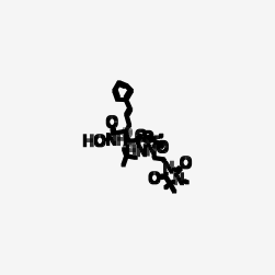 CC(C)C[C@@H](C(=O)NN(CCN1C(=O)N(C)C(C)(C)C1=O)S(C)(=O)=O)[C@H](CC=Cc1ccccc1)C(=O)NO